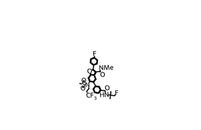 CNC(=O)c1c(-c2ccc(F)cc2)oc2cc(N(CCC(F)(F)F)S(C)(=O)=O)c(-c3cccc(C(=O)NC(C)(C)CF)c3)cc12